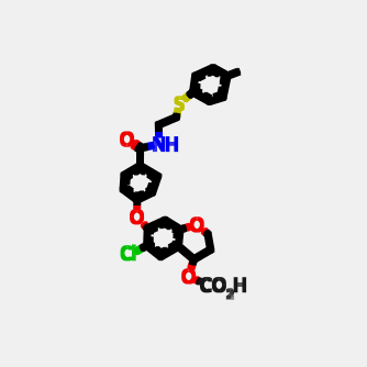 Cc1ccc(SCCNC(=O)c2ccc(Oc3cc4c(cc3Cl)C(OC(=O)O)CCO4)cc2)cc1